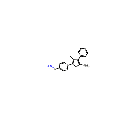 CC1=C(c2ccc(CN)cc2)CC([SiH3])=C1c1ccccc1